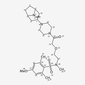 CCCN1C2CCC1CC(N1CCN(C(=O)COCCN(C)S(=O)(=O)c3c(C)cc(OC)cc3C)CC1)C2